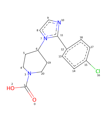 O=C(O)N1CCC(n2ccnc2-c2ccc(Cl)cc2)CC1